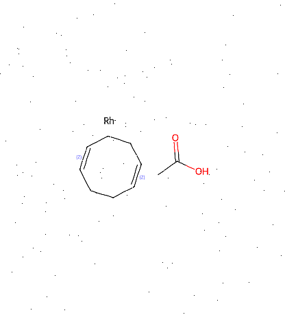 C1=C\CC/C=C\CC/1.CC(=O)O.[Rh]